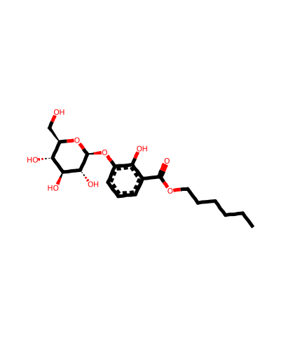 CCCCCCOC(=O)c1cccc(O[C@@H]2O[C@H](CO)[C@@H](O)[C@H](O)[C@H]2O)c1O